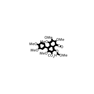 COCOc1c(C(=O)O)c(OC)c(-c2ccc(OC)c(OC)c2)c2c1C(=C=O)C(OC)C(OC)=C2OC